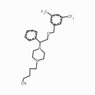 N#CCCCCN1CCN(C(COCc2cc(C(F)(F)F)cc(C(F)(F)F)c2)c2ccccc2)CC1